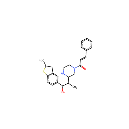 CC1Cc2cc(C(O)C(C)C3CN(C(=O)C=Cc4ccccc4)CCN3)ccc2S1